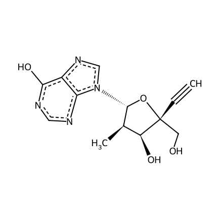 C#C[C@]1(CO)O[C@@H](n2cnc3c(O)ncnc32)[C@H](C)[C@@H]1O